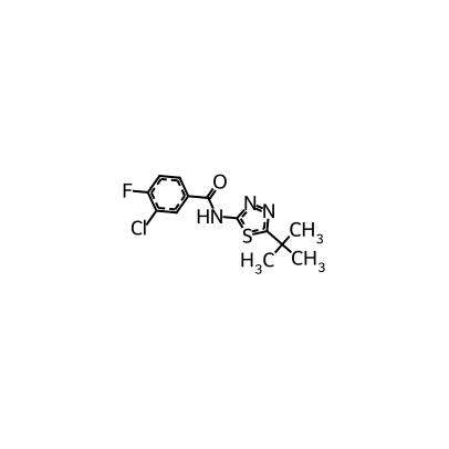 CC(C)(C)c1nnc(NC(=O)c2ccc(F)c(Cl)c2)s1